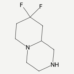 FC1(F)CCN2CCNCC2C1